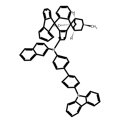 C[C@H]1C[C@@H]2C[C@@H](C)C[C@H](C1)C21c2ccccc2C2(c3ccccc3-c3ccccc32)c2cc(N(c3ccc(-c4ccc(-n5c6ccccc6c6ccccc65)cc4)cc3)c3ccc4ccccc4c3)ccc21